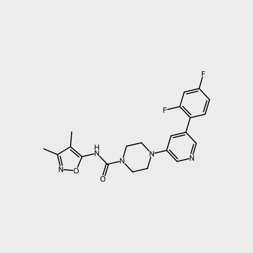 Cc1noc(NC(=O)N2CCN(c3cncc(-c4ccc(F)cc4F)c3)CC2)c1C